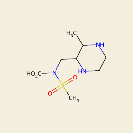 CC1NCCNC1CN(C(=O)O)S(C)(=O)=O